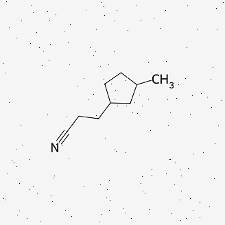 CC1CCC(CCC#N)C1